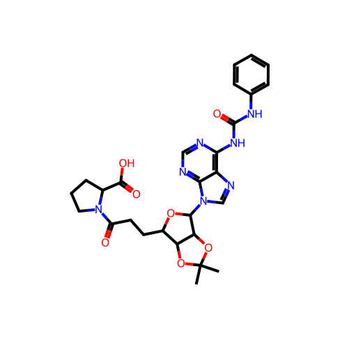 CC1(C)OC2C(CCC(=O)N3CCCC3C(=O)O)OC(n3cnc4c(NC(=O)Nc5ccccc5)ncnc43)C2O1